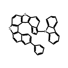 c1ccc(-c2ccc3c(ccc4sc5ccc6sc7ccc8c(-n9c%10ccccc%10c%10ccccc%109)cccc8c7c6c5c43)c2)cc1